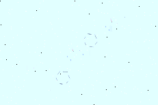 CC(C)(C)OC(=O)NCc1ccc(NC(=O)N(CCCCO)Cc2ccc(Br)cc2)cc1